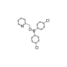 Clc1ccc(B(OCc2ccccn2)c2ccc(Cl)cc2)cc1